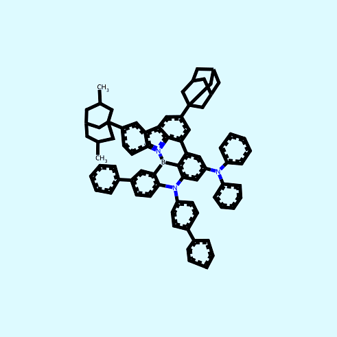 CC1CC2CC(C)CC(c3ccc4c(c3)c3cc(C56CC7CC(CC(C7)C5)C6)cc5c3n4B3c4cc(-c6ccccc6)ccc4N(c4ccc(-c6ccccc6)cc4)c4cc(N(c6ccccc6)c6ccccc6)cc-5c43)(C1)C2